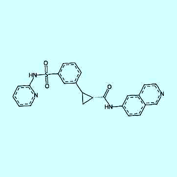 O=C(Nc1ccc2cnccc2c1)[C@@H]1CC1c1cccc(S(=O)(=O)Nc2ccccn2)c1